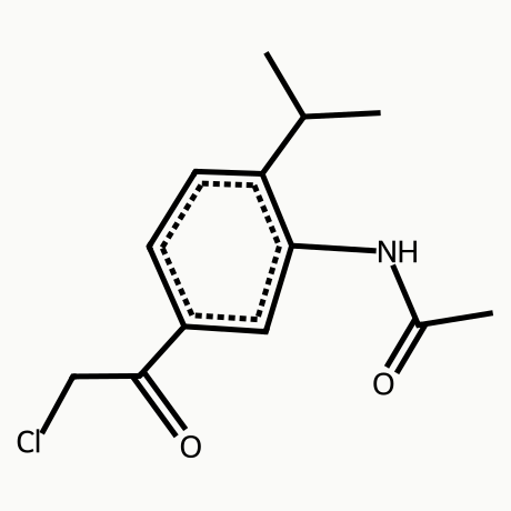 CC(=O)Nc1cc(C(=O)CCl)ccc1C(C)C